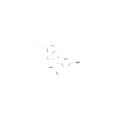 CCOC(=O)C1(c2cccc(C(F)(F)F)c2)C(=O)NC(C)=C(C#N)C1c1ccc(C#N)cc1